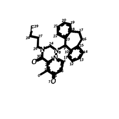 Cc1c2n(ccc1=O)N(C1c3ccccc3CCc3ccccc31)CN(CCCF)C2=O